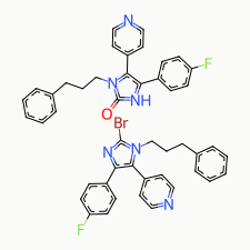 Fc1ccc(-c2nc(Br)n(CCCc3ccccc3)c2-c2ccncc2)cc1.O=c1[nH]c(-c2ccc(F)cc2)c(-c2ccncc2)n1CCCc1ccccc1